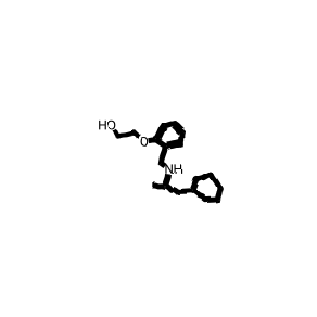 CC(CC1CCCCC1)NCc1ccccc1OCCO